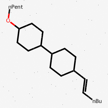 CCCCC=CC1CCC(C2CCC(OCCCCC)CC2)CC1